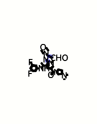 CC(Nc1cc(F)cc(F)c1)c1cc(C(=O)N2CCC(N(C)C)C2)cn(C)/c1=N\C(=C/C=O)N1CCOCC1